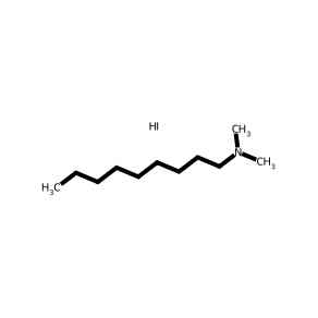 CCCCCCCCCN(C)C.I